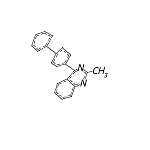 Cc1nc(-c2ccc(-c3ccccc3)cc2)c2ccccc2n1